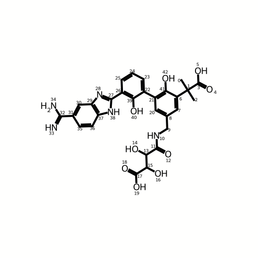 CC(C)(C(=O)O)c1cc(CNC(=O)C(O)C(O)C(=O)O)cc(-c2cccc(-c3nc4cc(C(=N)N)ccc4[nH]3)c2O)c1O